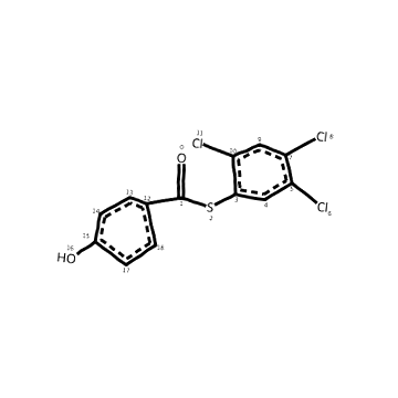 O=C(Sc1cc(Cl)c(Cl)cc1Cl)c1ccc(O)cc1